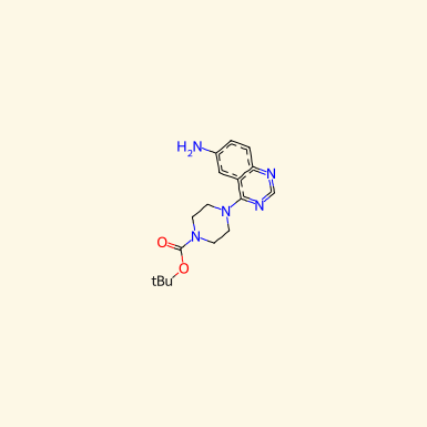 CC(C)(C)OC(=O)N1CCN(c2ncnc3ccc(N)cc23)CC1